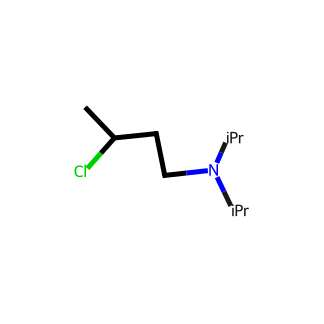 CC(Cl)CCN(C(C)C)C(C)C